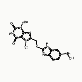 CCCCn1c(=O)[nH]c(=O)c2c1nc(CSc1nc3ccc(NO)cc3[nH]1)n2CC